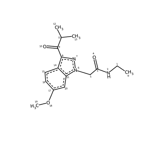 CCNC(=O)Cn1nc(C(=O)C(C)C)c2ccc(OC)cc21